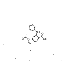 C=COC(C)=O.O=C(O)c1ccccc1Nc1ccccc1